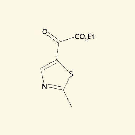 CCOC(=O)C(=O)c1cnc(C)s1